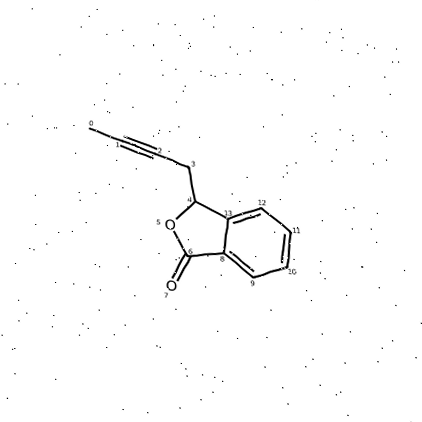 CC#CCC1OC(=O)c2ccccc21